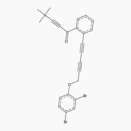 C[Si](C)(C)C#CC(=O)c1ccccc1C#CC#CCOc1ccc(Br)cc1Br